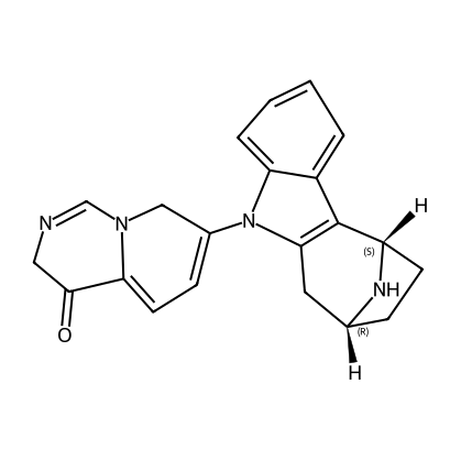 O=C1CN=CN2CC(n3c4c(c5ccccc53)[C@@H]3CC[C@H](C4)N3)=CC=C12